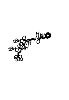 CC(C)(C)OC(=O)CC[C@H](NC(=O)N[C@@H](CCCCNC(=O)[C@@H](N)Cc1ccccc1)C(=O)OC(C)(C)C)C(=O)OC(C)(C)C